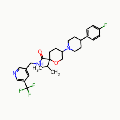 CC(C)C1(C(=O)NCc2cncc(C(F)(F)F)c2)CCC(N2CCC(c3ccc(F)cc3)CC2)CO1